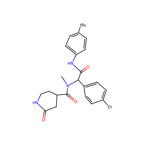 CCc1ccc(C(C(=O)Nc2ccc(C(C)(C)C)cc2)N(C)C(=O)C2CCNC(=O)C2)cc1